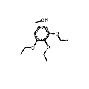 CCOc1cccc(OCC)c1OCC.CO